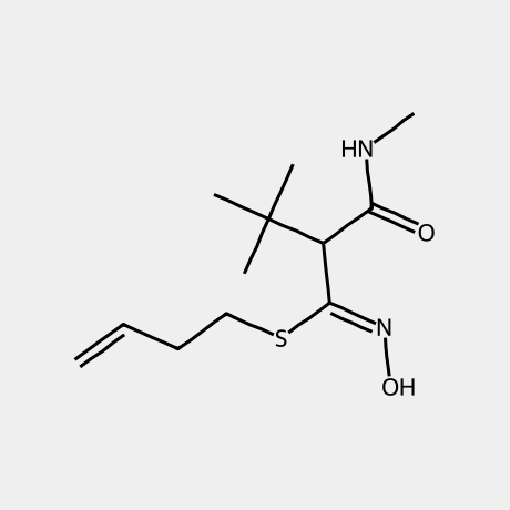 C=CCCS/C(=N\O)C(C(=O)NC)C(C)(C)C